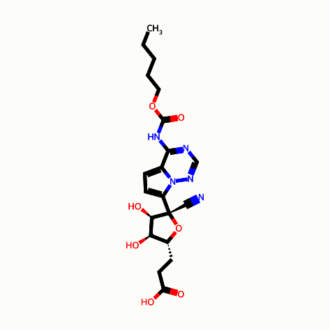 CCCCCOC(=O)Nc1ncnn2c([C@]3(C#N)O[C@H](CCC(=O)O)[C@@H](O)[C@H]3O)ccc12